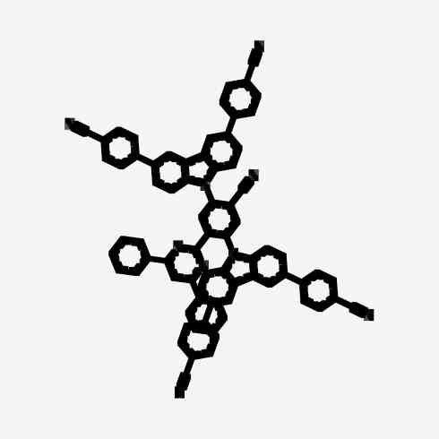 N#Cc1ccc(-c2ccc3c(c2)c2cc(-c4ccc(C#N)cc4)ccc2n3-c2cc(-c3nc(-c4ccccc4)cc(-c4ccccc4)n3)c(-n3c4ccc(-c5ccc(C#N)cc5)cc4c4cc(-c5ccc(C#N)cc5)ccc43)cc2C#N)cc1